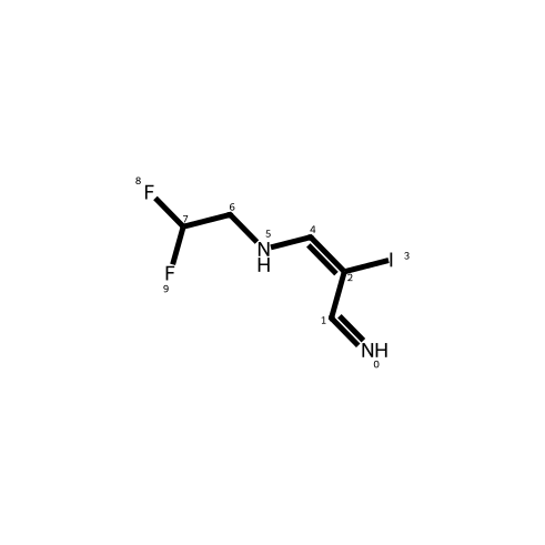 N=C/C(I)=C\NCC(F)F